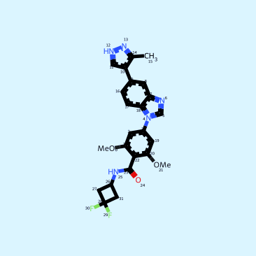 COc1cc(-n2cnc3cc(-c4c[nH]nc4C)ccc32)cc(OC)c1C(=O)NC1CC(F)(F)C1